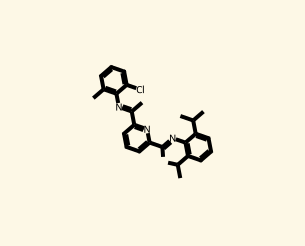 CC(=Nc1c(C)cccc1Cl)c1cccc(C(C)=Nc2c(C(C)C)cccc2C(C)C)n1